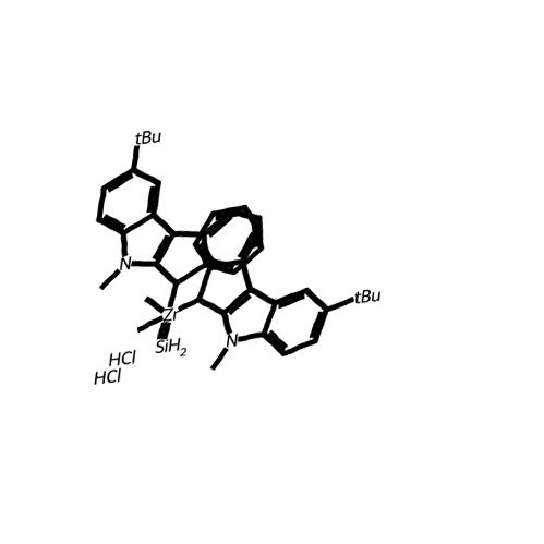 Cl.Cl.Cn1c2c(c3cc(C(C)(C)C)ccc31)-c1ccccc1[CH]2[Zr]([CH3])([CH3])(=[SiH2])[CH]1c2ccccc2-c2c1n(C)c1ccc(C(C)(C)C)cc21